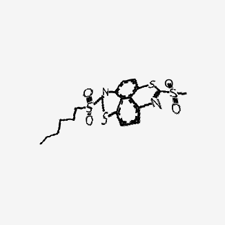 CCCCCCS(=O)(=O)C1=Nc2ccc3c4c(ccc(c24)S1)N=C(S(C)(=O)=O)S3